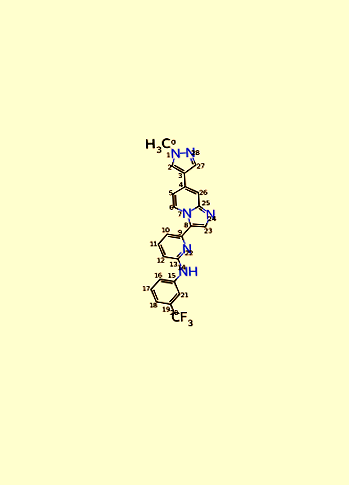 Cn1cc(-c2ccn3c(-c4cccc(Nc5cccc(C(F)(F)F)c5)n4)cnc3c2)cn1